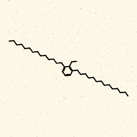 [CH2]Cc1c(CCCCCCCCCCCCCC)cccc1CCCCCCCCCCCCCC